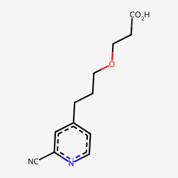 N#Cc1cc(CCCOCCC(=O)O)ccn1